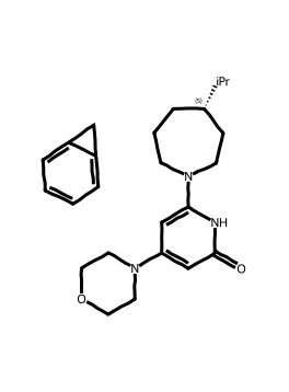 CC(C)[C@H]1CCCN(c2cc(N3CCOCC3)cc(=O)[nH]2)CC1.c1ccc2c(c1)C2